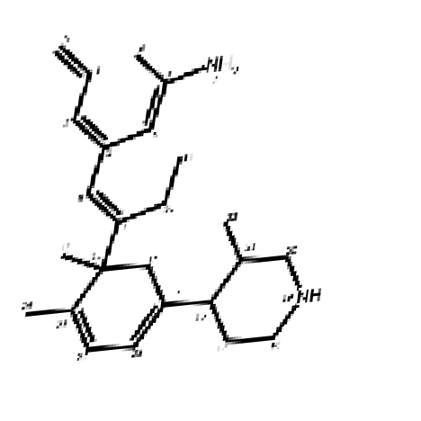 C=C/C=C(\C=C(/C)N)/C=C(\CC)C1(C)CC(C2CCNCC2C)=CC=C1C